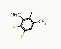 Cc1c(C(F)(F)F)cc(F)c(F)c1C=O